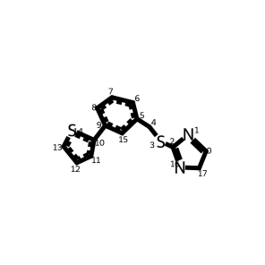 C1=NC(SCc2cccc(-c3cccs3)c2)=NC1